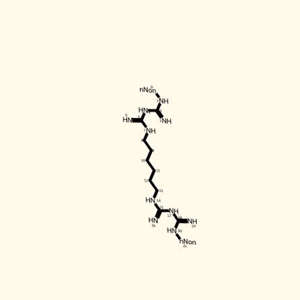 CCCCCCCCCNC(=N)NC(=N)NCCCCCCNC(=N)NC(=N)NCCCCCCCCC